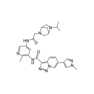 Cc1ncc(NC(=O)CN2CC3CC2CN3C(C)C)cc1NC(=O)c1nnn2cc(-c3cnn(C)c3)ccc12